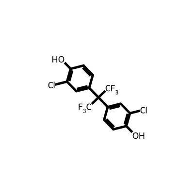 Oc1ccc(C(c2ccc(O)c(Cl)c2)(C(F)(F)F)C(F)(F)F)cc1Cl